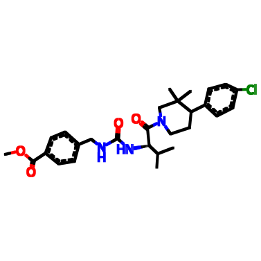 COC(=O)c1ccc(CNC(=O)N[C@@H](C(=O)N2CCC(c3ccc(Cl)cc3)C(C)(C)C2)C(C)C)cc1